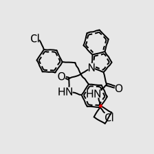 O=C(NC1CCC1)c1cc2ccccc2n1C1(Cc2cccc(Cl)c2)C(=O)Nc2cc(Cl)ccc21